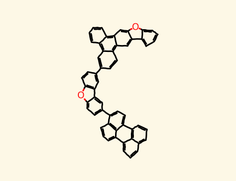 c1ccc2c(c1)oc1cc3c4ccccc4c4cc(-c5ccc6oc7ccc(-c8ccc9c%10cccc%11cccc(c%12cccc8c%129)c%11%10)cc7c6c5)ccc4c3cc12